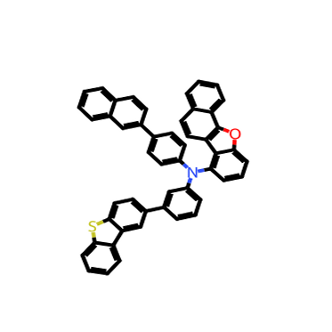 c1cc(-c2ccc3sc4ccccc4c3c2)cc(N(c2ccc(-c3ccc4ccccc4c3)cc2)c2cccc3oc4c5ccccc5ccc4c23)c1